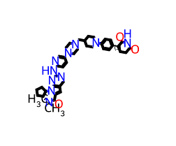 CN(C)C(=O)c1cc2cnc(Nc3ccc(N4CCN(CC5CCN(c6ccc([C@@H]7CCC(=O)NC7=O)cc6)CC5)CC4)cn3)nc2n1C1CCCC1